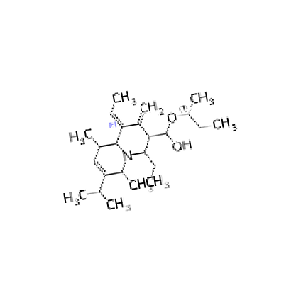 C=C1/C(=C\C)C2C(C)C=C(C(C)C)C(C)N2C(CC)C1C(O)O[C@H](C)CC